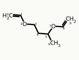 C=COCCC(C)OC=C